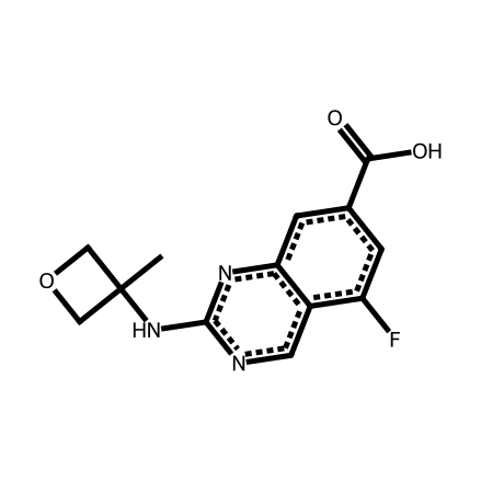 CC1(Nc2ncc3c(F)cc(C(=O)O)cc3n2)COC1